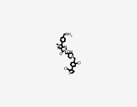 Cn1nc2c(=O)n(CC3(O)CCN(Cc4ccc(-c5ccsc5Cl)cc4Cl)CC3)cnc2c1-c1ccc(CN)cc1